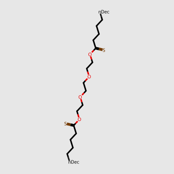 CCCCCCCCCCCCCCC(=S)OCCOCCOCCOC(=S)CCCCCCCCCCCCCC